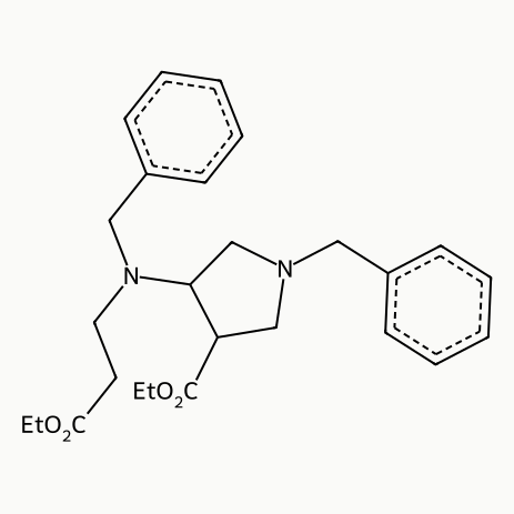 CCOC(=O)CCN(Cc1ccccc1)C1CN(Cc2ccccc2)CC1C(=O)OCC